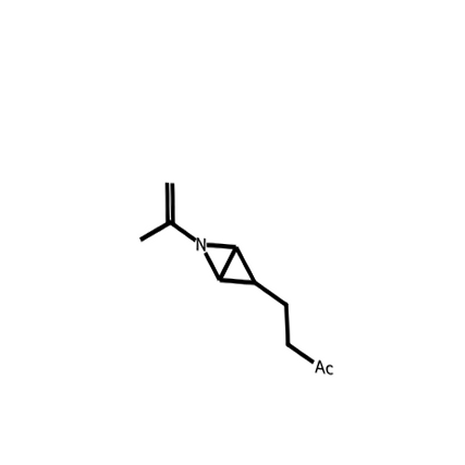 C=C(C)N1C2C(CCC(C)=O)C21